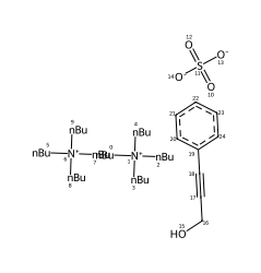 CCCC[N+](CCCC)(CCCC)CCCC.CCCC[N+](CCCC)(CCCC)CCCC.O=S(=O)([O-])[O-].OCC#Cc1ccccc1